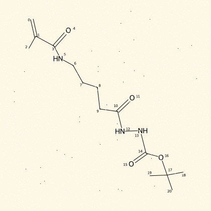 C=C(C)C(=O)NCCCCC(=O)NNC(=O)OC(C)(C)C